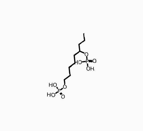 CCCC(CCCCCOP(=O)(O)O)OP(=O)(O)O